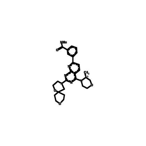 CNC(=O)c1cccc(-c2ccc3c(N4CCOC[C@@H]4C)nc(N4CCOC5(CCOCC5)C4)nc3n2)c1